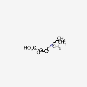 CC(C)=CCC/C(C)=C/CCC1=CCCC(COC(=O)CCC(=O)O)C1